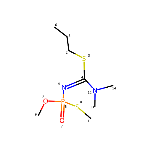 CCCSC(=NP(=O)(OC)SC)N(C)C